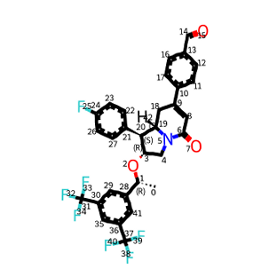 C[C@@H](O[C@H]1CN2C(=O)C=C(c3ccc(C=O)cc3)C[C@H]2[C@@H]1c1ccc(F)cc1)c1cc(C(F)(F)F)cc(C(F)(F)F)c1